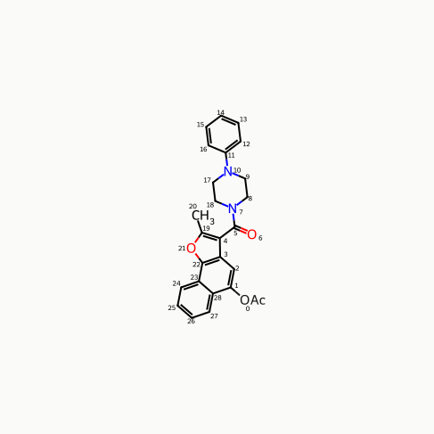 CC(=O)Oc1cc2c(C(=O)N3CCN(c4ccccc4)CC3)c(C)oc2c2ccccc12